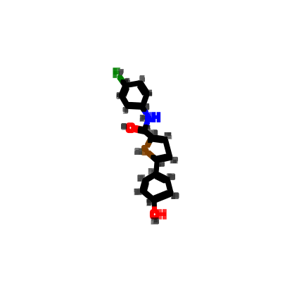 O=C(Nc1ccc(F)cc1)c1ccc(-c2ccc(O)cc2)s1